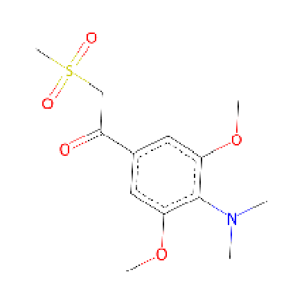 COc1cc(C(=O)CS(C)(=O)=O)cc(OC)c1N(C)C